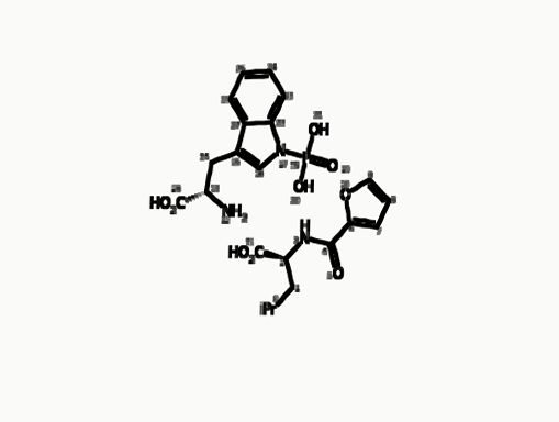 CC(C)C[C@H](NC(=O)c1ccco1)C(=O)O.N[C@@H](Cc1cn(P(=O)(O)O)c2ccccc12)C(=O)O